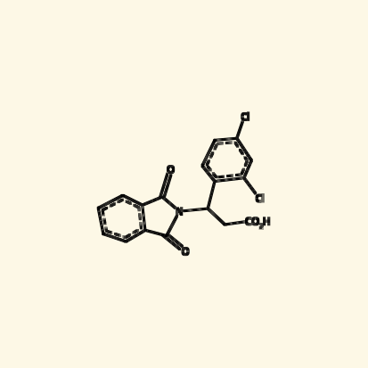 O=C(O)CC(c1ccc(Cl)cc1Cl)N1C(=O)c2ccccc2C1=O